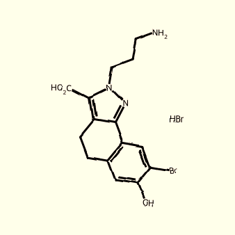 Br.NCCCn1nc2c(c1C(=O)O)CCc1cc(O)c(Br)cc1-2